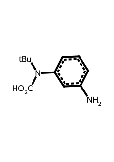 CC(C)(C)N(C(=O)O)c1cccc(N)c1